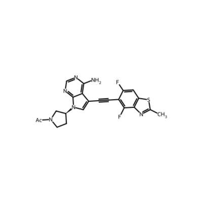 CC(=O)N1CC[C@H](n2cc(C#Cc3c(F)cc4sc(C)nc4c3F)c3c(N)ncnc32)C1